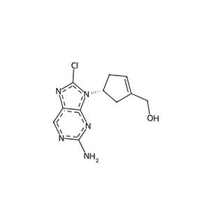 Nc1ncc2nc(Cl)n([C@@H]3CC=C(CO)C3)c2n1